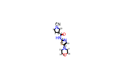 N#CN1CC[C@H](C(=O)Nc2ncc(N3CCOCC3)s2)C1